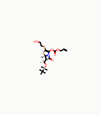 C=CCOC(=O)OC1=C(SCCO)S[C@@H]2[C@H]([C@@H](C)O[Si](C)(C)C(C)(C)C)C(=O)N12